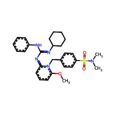 COc1cccc(=NC(=NC2CCCCC2)Nc2ccccc2)n1Cc1ccc(S(=O)(=O)N(C)C)cc1